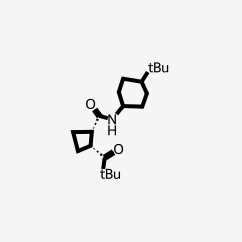 CC(C)(C)C(=O)[C@@H]1CC[C@@H]1C(=O)NC1CCC(C(C)(C)C)CC1